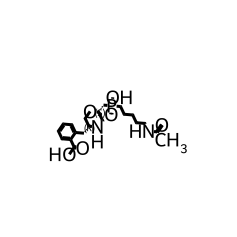 CC(=O)NCCCCCP(=O)(O)C[C@@H]1CN[C@H](Cc2ccccc2C(=O)O)CO1